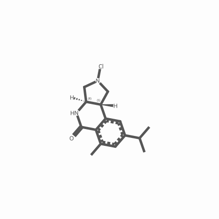 Cc1cc(C(C)C)cc2c1C(=O)N[C@H]1CN(Cl)C[C@H]21